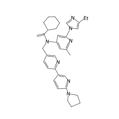 C=C(C1CCCCC1)N(Cc1ccc(-c2ccc(N3CCCC3)nc2)nc1)c1cc(C)nc(-n2cnc(CC)c2)c1